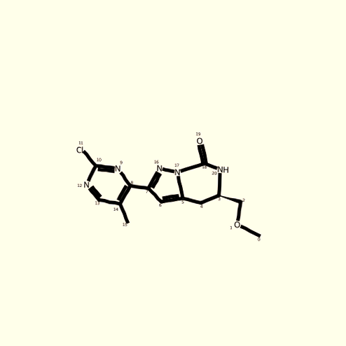 COC[C@H]1Cc2cc(-c3nc(Cl)ncc3C)nn2C(=O)N1